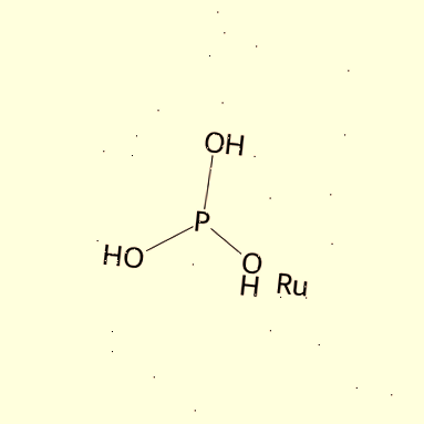 OP(O)O.[Ru]